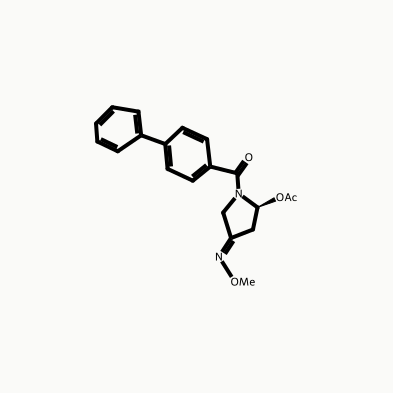 CO/N=C1\C[C@H](OC(C)=O)N(C(=O)c2ccc(-c3ccccc3)cc2)C1